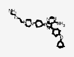 NCCOCCN1CCN(C2CCC(n3nc(-c4ccc(Oc5ccccc5)cc4)c4c(N)ncnc43)CC2)CC1